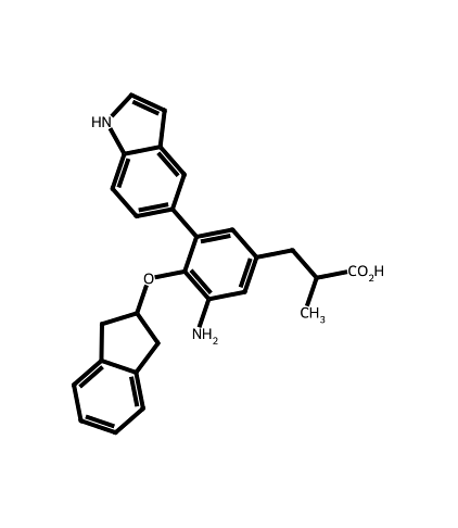 CC(Cc1cc(N)c(OC2Cc3ccccc3C2)c(-c2ccc3[nH]ccc3c2)c1)C(=O)O